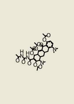 CC(=O)NC(=O)NC(=O)C1=C(OC(C)=O)C(N(C)C)C2CC3Cc4c(N(C)C)ccc(OC(C)=O)c4C(=O)C3=C(OC(C)=O)C2C1OC(C)=O